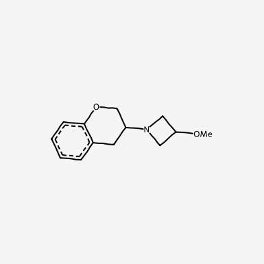 COC1CN(C2COc3ccccc3C2)C1